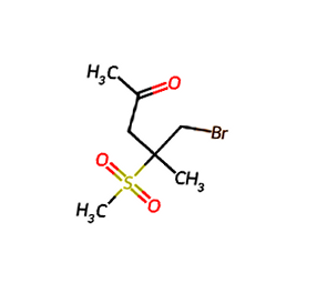 CC(=O)CC(C)(CBr)S(C)(=O)=O